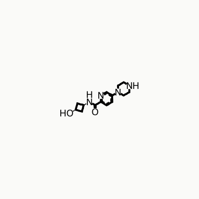 O=C(N[C@H]1C[C@@H](O)C1)c1ccc(N2CCNCC2)cn1